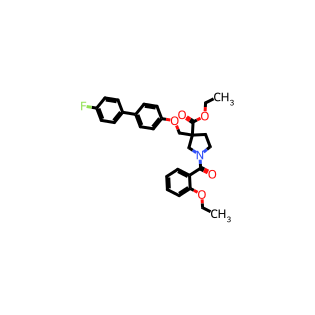 CCOC(=O)C1(COc2ccc(-c3ccc(F)cc3)cc2)CCN(C(=O)c2ccccc2OCC)C1